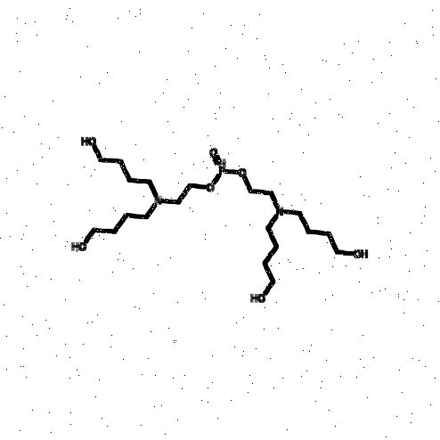 O=[PH](OCCN(CCCCO)CCCCO)OCCN(CCCCO)CCCCO